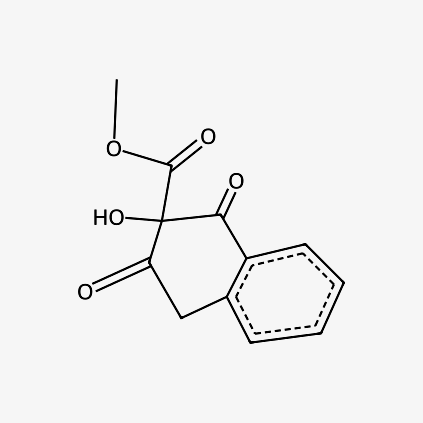 COC(=O)C1(O)C(=O)Cc2ccccc2C1=O